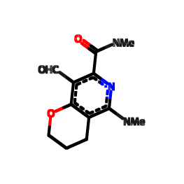 CNC(=O)c1nc(NC)c2c(c1C=O)OCCC2